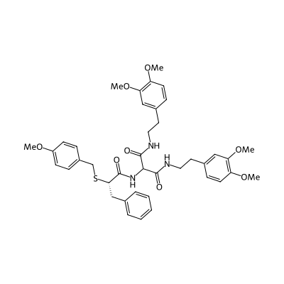 COc1ccc(CS[C@@H](Cc2ccccc2)C(=O)NC(C(=O)NCCc2ccc(OC)c(OC)c2)C(=O)NCCc2ccc(OC)c(OC)c2)cc1